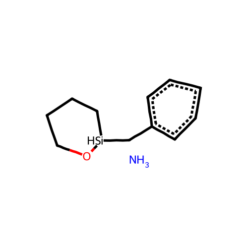 N.c1ccc(C[SiH]2CCCCO2)cc1